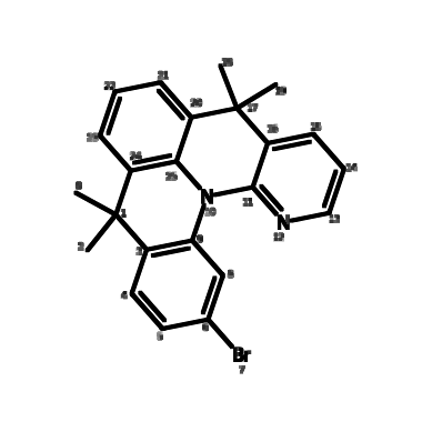 CC1(C)c2ccc(Br)cc2N2c3ncccc3C(C)(C)c3cccc1c32